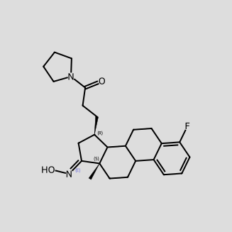 C[C@]12CCC3c4cccc(F)c4CCC3C1[C@H](CCC(=O)N1CCCC1)C/C2=N\O